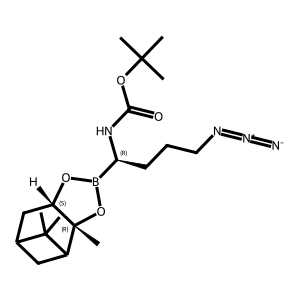 CC(C)(C)OC(=O)N[C@@H](CCCN=[N+]=[N-])B1O[C@H]2CC3CC(C3(C)C)[C@@]2(C)O1